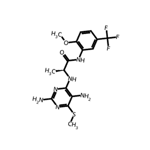 COc1ccc(C(F)(F)F)cc1NC(=O)[C@H](C)Nc1nc(N)nc(SC)c1N